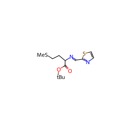 CSCCC(/N=C/c1nccs1)C(=O)OC(C)(C)C